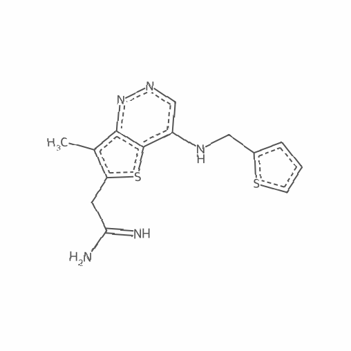 Cc1c(CC(=N)N)sc2c(NCc3cccs3)cnnc12